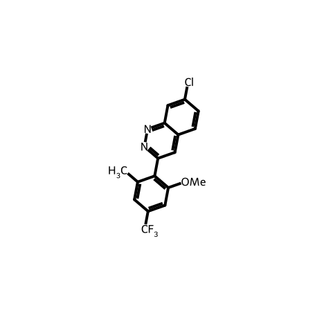 COc1cc(C(F)(F)F)cc(C)c1-c1cc2ccc(Cl)cc2nn1